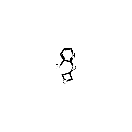 Brc1cccnc1OC1COC1